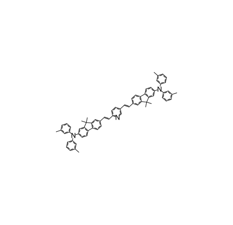 Cc1cccc(N(c2cccc(C)c2)c2ccc3c(c2)C(C)(C)c2cc(/C=C/c4ccc(/C=C/c5ccc6c(c5)C(C)(C)c5cc(N(c7cccc(C)c7)c7cccc(C)c7)ccc5-6)nc4)ccc2-3)c1